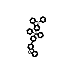 c1ccc(-n2c3ccccc3c3cc([Si](c4ccccc4)(c4ccccc4)c4ccc(-c5ccc6oc7ccccc7c6c5)cc4)ccc32)cc1